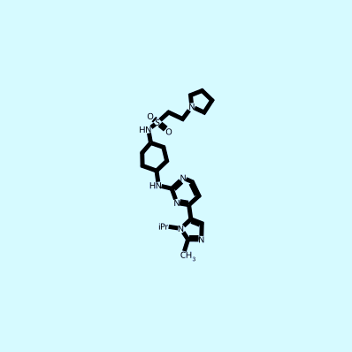 Cc1ncc(-c2ccnc(NC3CCC(NS(=O)(=O)CCN4CCCC4)CC3)n2)n1C(C)C